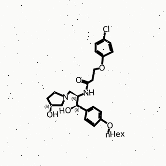 CCCCCCOc1ccc([C@@H](O)[C@@H](CN2CC[C@H](O)C2)NC(=O)CCOc2ccc(Cl)cc2)cc1